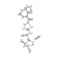 N#C[C@@H]1C[C@@H]2C[C@@H]2N1C(=O)CN1CCC(Nc2cncc3ccoc23)C1